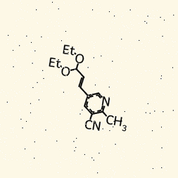 CCOC(/C=C/c1cnc(C)c(C#N)c1)OCC